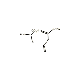 C=COC(=O)CCCCCCCCC.CCCCC(CC)C(=O)O